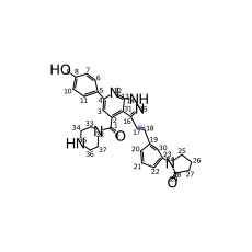 O=C(c1cc(-c2ccc(O)cc2)nc2[nH]nc(/C=C/c3cccc(N4CCCC4=O)c3)c12)N1CCNCC1